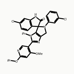 COc1cc(OC(C)C)ncc1-c1nc2c(n1C(C)C)C1(C(=O)Nc3cc(Cl)ccc31)N(c1cccc(Cl)c1)C2